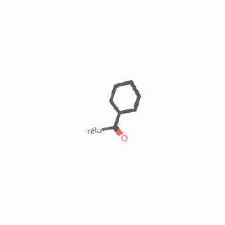 CCC[CH]C(=O)C1CCCCC1